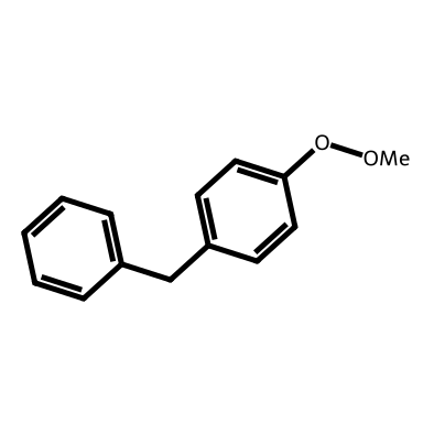 COOc1ccc(Cc2ccccc2)cc1